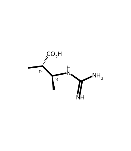 C[C@H](NC(=N)N)[C@H](C)C(=O)O